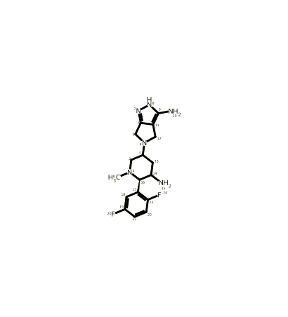 CN1CC(N2Cc3n[nH]c(N)c3C2)CC(N)[C@H]1c1cc(F)ccc1F